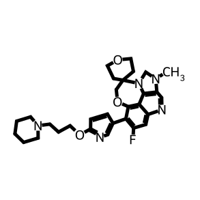 CN1CN2c3c1cnc1cc(F)c(-c4ccc(OCCCN5CCCCC5)nc4)c(c31)OCC21CCOCC1